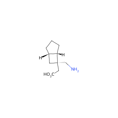 NC[C@]1(CC(=O)O)C[C@@H]2CCC[C@@H]21